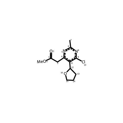 COC(=O)Cc1nc(C)nc(Cl)c1C1CCCO1